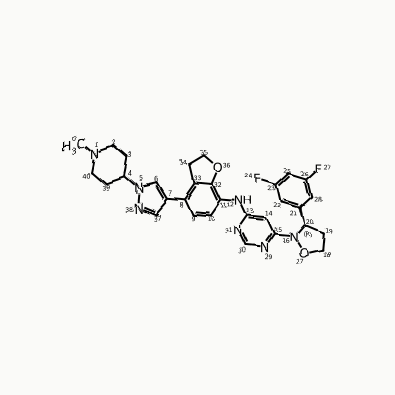 CN1CCC(n2cc(-c3ccc(Nc4cc(N5OCC[C@@H]5c5cc(F)cc(F)c5)ncn4)c4c3CCO4)cn2)CC1